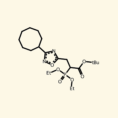 CCOP(=O)(OCC)C(Cc1nc(C2CCCCCCC2)no1)C(=O)OC(C)(C)C